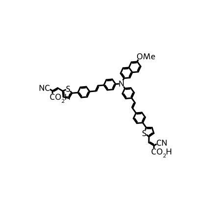 COc1ccc2cc(N(c3ccc(/C=C/c4ccc(-c5ccc(/C=C(/C#N)C(=O)O)s5)cc4)cc3)c3ccc(/C=C/c4ccc(-c5ccc(/C=C(\C#N)C(=O)O)s5)cc4)cc3)ccc2c1